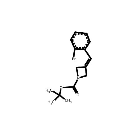 CC(C)(C)OC(=O)N1CC(=Cc2ccccc2Br)C1